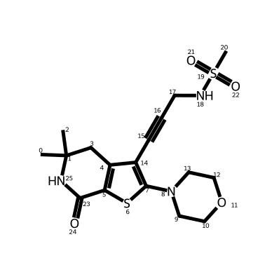 CC1(C)Cc2c(sc(N3CCOCC3)c2C#CCNS(C)(=O)=O)C(=O)N1